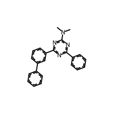 CN(C)c1nc(-c2ccccc2)nc(-c2cccc(-c3ccccc3)c2)n1